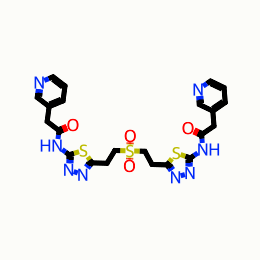 O=C(Cc1cccnc1)Nc1nnc(CCS(=O)(=O)CCc2nnc(NC(=O)Cc3cccnc3)s2)s1